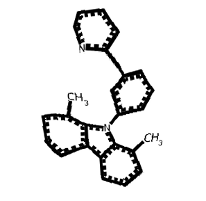 Cc1cccc2c3cccc(C)c3n(-c3cccc(-c4ccccn4)c3)c12